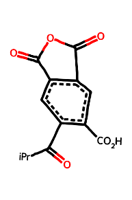 CC(C)C(=O)c1cc2c(cc1C(=O)O)C(=O)OC2=O